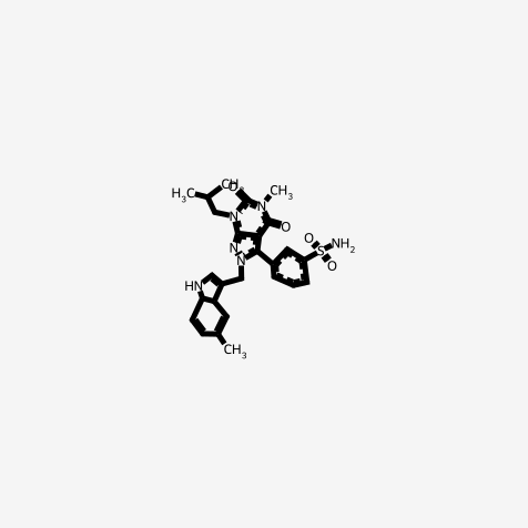 CC1=CC2C(Cn3nc4c(c3-c3cccc(S(N)(=O)=O)c3)c(=O)n(C)c(=O)n4CC(C)C)=CNC2C=C1